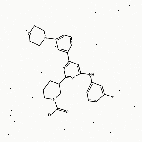 CCC(=O)N1CCCC(c2nc(Nc3cccc(F)c3)cc(-c3cccc(N4CCOCC4)c3)n2)C1